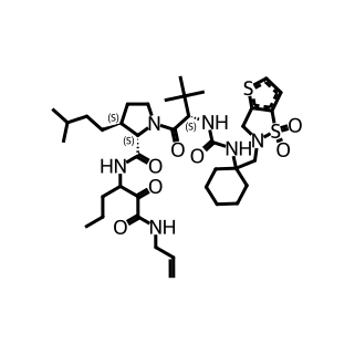 C=CCNC(=O)C(=O)C(CCC)NC(=O)[C@@H]1[C@@H](CCC(C)C)CCN1C(=O)[C@@H](NC(=O)NC1(CN2Cc3sccc3S2(=O)=O)CCCCC1)C(C)(C)C